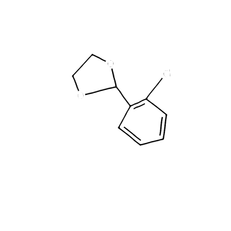 Clc1ccc[c]c1C1OCCO1